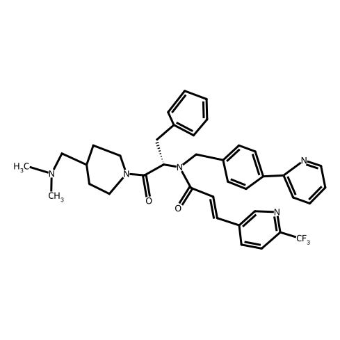 CN(C)CC1CCN(C(=O)[C@H](Cc2ccccc2)N(Cc2ccc(-c3ccccn3)cc2)C(=O)C=Cc2ccc(C(F)(F)F)nc2)CC1